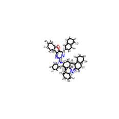 c1ccc2cc(-c3nc(-n4c5ccccc5c5c6c7ccccc7n7c8ccc9ccccc9c8c(cc54)c67)nc4c3oc3ccccc34)ccc2c1